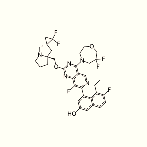 CCc1c(F)ccc2cc(O)cc(-c3ncc4c(N5CCOCC(F)(F)C5)nc(OC[C@@]56CCCN5C[C@@]5(CC5(F)F)C6)nc4c3F)c12